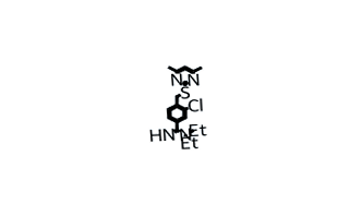 CCN(CC)C(=N)c1ccc(CSc2nc(C)cc(C)n2)c(Cl)c1